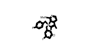 CNc1nccc2c1[N+](Cc1ccc(F)cc1)(Cc1cccc(F)c1)C(C)=C2C.Cl